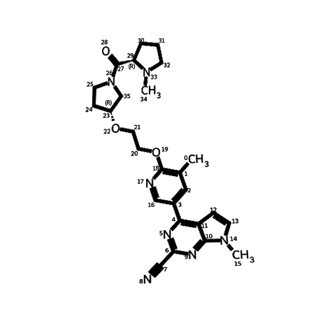 Cc1cc(-c2nc(C#N)nc3c2ccn3C)cnc1OCCO[C@@H]1CCN(C(=O)[C@H]2CCCN2C)C1